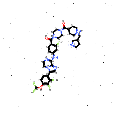 C[N+]1(CC2CCNC2)CCC(C(=O)N2CCN(C(=O)c3ccc(Nc4nccn5c(-c6ccc(OC(F)F)c(F)c6F)cnc45)cc3F)CC2)CC1